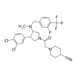 CN(Cc1ccc(C(F)(F)F)c(F)c1)C1CN(C(=O)CN2CCC(C#N)CC2)CC1c1ccc(Cl)c(Cl)c1